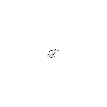 N.SCl.[C]